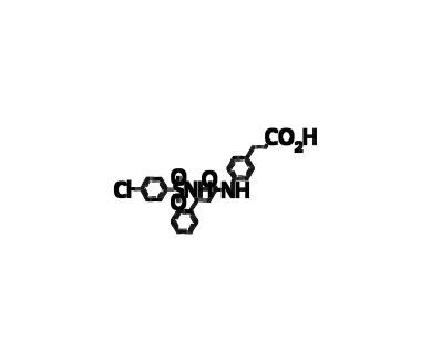 O=C(O)CCc1ccc(NC(=O)C[C@H](NS(=O)(=O)c2ccc(Cl)cc2)c2ccccc2)cc1